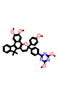 COc1ccc(C2(c3ccc(-c4nc(OC)nc(OC)n4)cc3)C=Cc3c4c(c5cc(OC)c(OC)cc5c3O2)-c2ccccc2C4(C)C)cc1